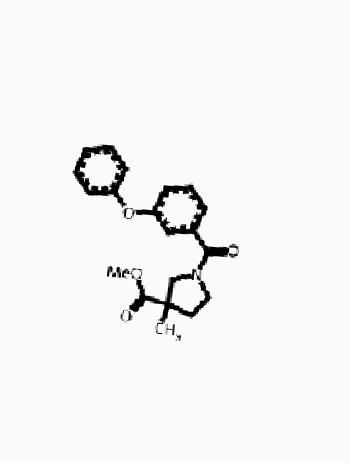 COC(=O)C1(C)CCN(C(=O)c2cccc(Oc3ccccc3)c2)C1